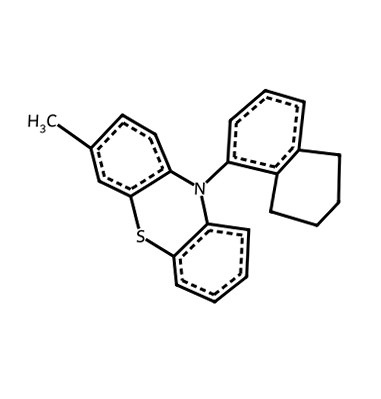 Cc1ccc2c(c1)Sc1ccccc1N2c1cccc2c1CCCC2